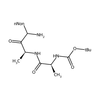 CCCCCCCCCC(N)C(=O)[C@H](C)NC(=O)[C@H](C)NC(=O)OC(C)(C)C